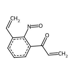 C=CC(=O)c1cccc(C=C)c1N=O